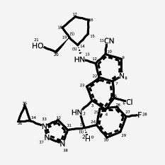 [2H][C@](Nc1cc(Cl)c2ncc(C#N)c(N[C@H]3CCCC[C@@H]3CO)c2c1)(c1ccc(F)cc1)c1cn(C2CC2)nn1